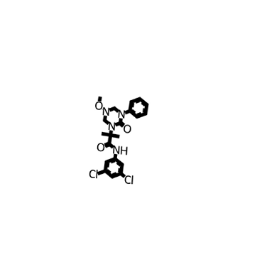 CON1CN(c2ccccc2)C(=O)N(C(C)(C)C(=O)Nc2cc(Cl)cc(Cl)c2)C1